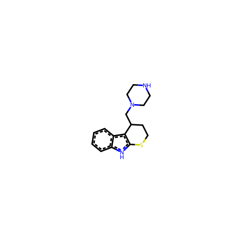 c1ccc2c3c([nH]c2c1)SCCC3CN1CCNCC1